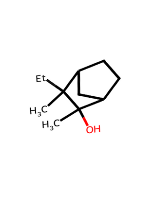 CCC1(C)C2CCC(C2)C1(C)O